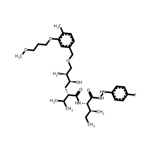 CC[C@H](C)[C@H](NC(=O)[C@@H](C[C@H](O)[C@@H](N)COCc1ccc(C)c(OCCCOC)c1)C(C)C)C(=O)NNc1ccc(F)cc1